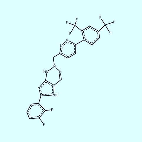 Fc1cccc(-c2nc3c([nH]2)C=NN(Cc2ccc(-c4ccc(C(F)(F)F)cc4C(F)(F)F)nn2)N3)c1F